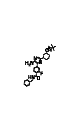 CC(C)(C)[Si](C)(C)OC1CCCC(c2cnc(N)c(-c3ccc(C(=O)NCc4ccccc4)c(F)c3)n2)C1